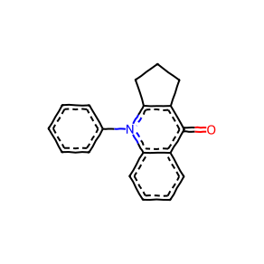 O=c1c2c(n(-c3ccccc3)c3ccccc13)CCC2